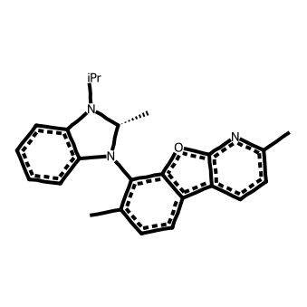 Cc1ccc2c(n1)oc1c(N3c4ccccc4N(C(C)C)[C@@H]3C)c(C)ccc12